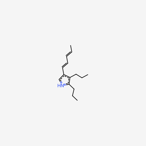 CC=CC=Cc1c[nH]c(CCC)c1CCC